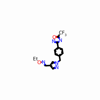 CCON=Cc1cnn(Cc2ccc(-c3noc(C(F)(F)F)n3)cc2)c1